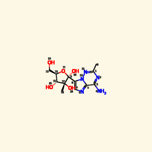 Cc1nc(N)c2ncc([C@]3(O)O[C@H](CO)[C@@H](O)[C@@]3(C)O)n2n1